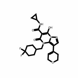 O=C(NC1CC1)c1c(O)n2ncc(C3=CCOCC3)c2n(CC2CCC(F)(F)CC2)c1=O